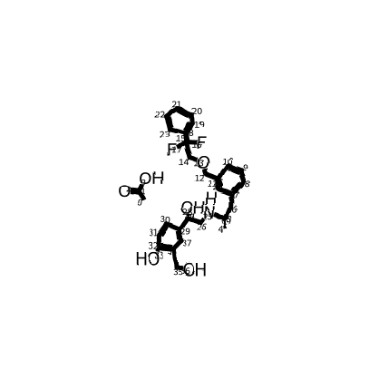 CC(=O)O.C[C@H](Cc1cccc(COCC(F)(F)c2ccccc2)c1)NC[C@H](O)c1ccc(O)c(CO)c1